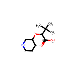 CC(C)(C)C(OC1CCCNC1)C(=O)O